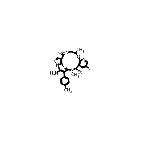 CCC1c2cc(F)cnc2OC(C)CNC(=O)c2cnn3c(N)c(-c4ccc(C)cc4)c(nc23)N1C